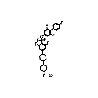 CCCCCCC1CCC(C2CCC(c3cc(F)c(C(F)(F)Oc4cc(F)c(-c5ccc(F)cc5)c(F)c4)c(F)c3)CC2)CC1